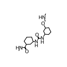 CNCOC1CCCC(NC(=O)NC2CCCC(C(=O)NC)C2)C1